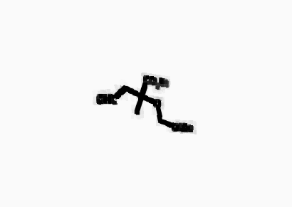 CCOC(=O)C(C)(CC=O)OCOC